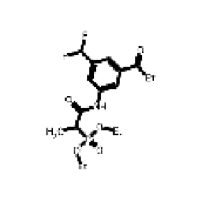 [CH2]CC(=O)c1cc(NC(=O)C(C)P(=O)(OCC)OCC)cc(C(F)F)c1